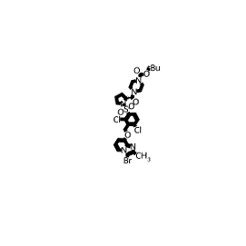 Cc1nc2c(OCc3c(Cl)ccc(S(=O)(=O)N4CCC[C@H]4C(=O)N4CCN(C(=O)OC(C)(C)C)CC4)c3Cl)cccn2c1Br